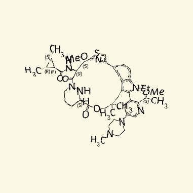 CCn1c(-c2cc(N3CCN(C)CC3)cnc2[C@H](C)OC)c2c3cc(ccc31)-c1csc(n1)[C@@H](OC)[C@H](NC(=O)[C@H]1[C@H](C)[C@@H]1C)C(=O)N1CCC[C@H](N1)C(=O)OCC(C)(C)C2